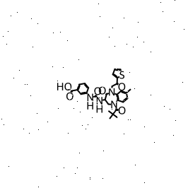 Cc1ccc2c(c1)N(CC(=O)c1cccs1)C(=O)C(NC(=O)Nc1cccc(C(=O)O)c1)CN2C(=O)C(C)(C)C